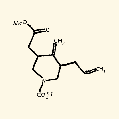 C=CCC1CN(C(=O)OCC)CC(CC(=O)OC)C1=C